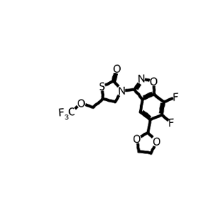 O=C1SC(COC(F)(F)F)CN1c1noc2c(F)c(F)c(C3OCCO3)cc12